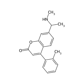 CNC(C)c1ccc2c(-c3ccccc3C)cc(=O)oc2c1